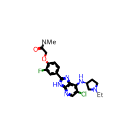 CCN1CC[C@H](Nc2c(Cl)cnc3[nH]c(-c4ccc(OCC(=O)NC)c(F)c4)nc23)C1